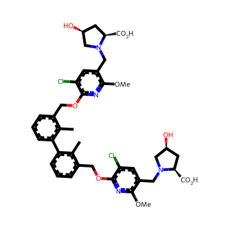 COc1nc(OCc2cccc(-c3cccc(COc4nc(OC)c(CN5C[C@@H](O)C[C@H]5C(=O)O)cc4Cl)c3C)c2C)c(Cl)cc1CN1C[C@@H](O)C[C@H]1C(=O)O